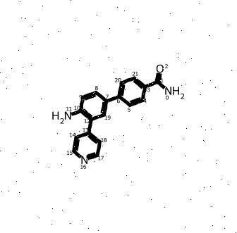 NC(=O)c1ccc(-c2ccc(N)c(-c3ccncc3)c2)cc1